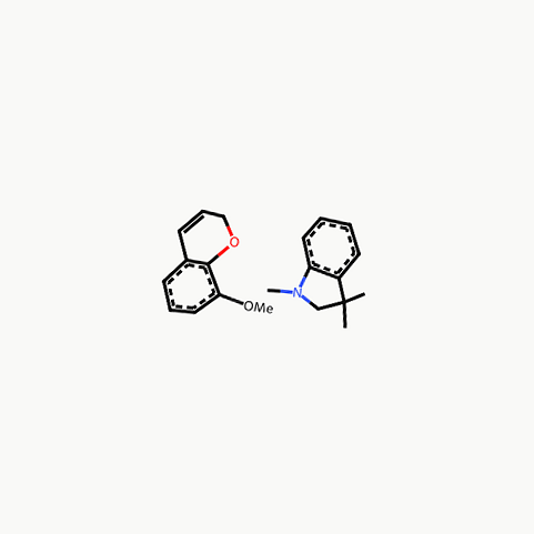 CN1CC(C)(C)c2ccccc21.COc1cccc2c1OCC=C2